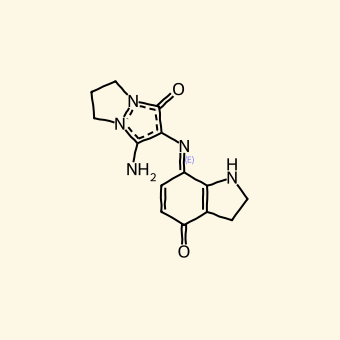 Nc1c(/N=C2\C=CC(=O)C3=C2NCC3)c(=O)n2n1CCC2